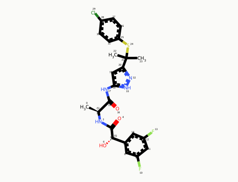 C[C@H](NC(=O)[C@@H](O)c1cc(F)cc(F)c1)C(=O)Nc1cc(C(C)(C)Sc2ccc(Cl)cc2)n[nH]1